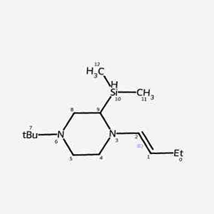 CC/C=C/N1CCN(C(C)(C)C)CC1[SiH](C)C